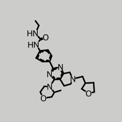 CCNC(=O)Nc1ccc(-c2nc3c(c(N4CCOCC4C)n2)CCN(CC2CCOC2)C3)cc1